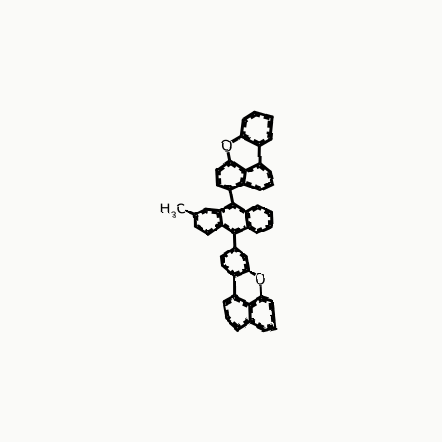 Cc1ccc2c(-c3ccc4c(c3)Oc3cccc5cccc-4c35)c3ccccc3c(-c3ccc4c5c(cccc35)-c3ccccc3O4)c2c1